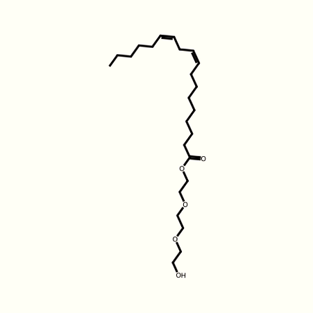 CCCCC/C=C\C/C=C\CCCCCCCC(=O)OCCOCCOCCO